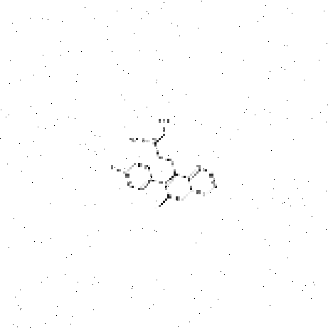 CO[C@H](CO)CSc1c(-c2ccc(F)cc2)c(Cl)cc2cncnc12